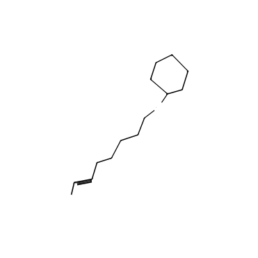 I/C=C/CCCCCCC1CCCCC1